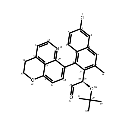 Cc1cc2cc(Cl)ccc2c(-c2ccc3c4c(ccnc24)CCO3)c1[C@H](C=O)OC(C)(C)C